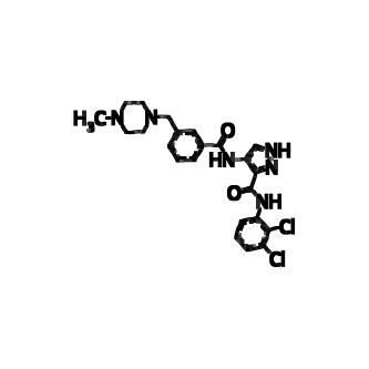 CN1CCN(Cc2cccc(C(=O)Nc3c[nH]nc3C(=O)Nc3cccc(Cl)c3Cl)c2)CC1